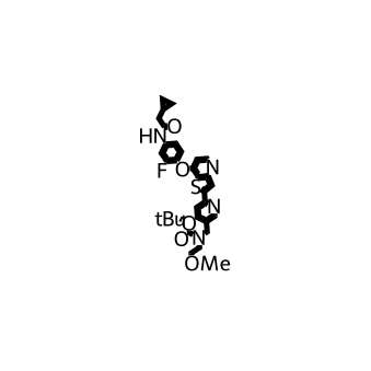 COCCN(Cc1ccc(-c2cc3nccc(Oc4ccc(NC(=O)CC5CC5)cc4F)c3s2)nc1)C(=O)OC(C)(C)C